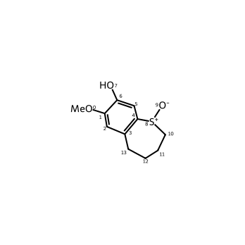 COc1cc2c(cc1O)[S+]([O-])CCCC2